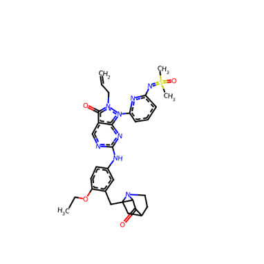 C=CCn1c(=O)c2cnc(Nc3ccc(OCC)c(CC4C(=O)C5CCN4CC5)c3)nc2n1-c1cccc(N=S(C)(C)=O)n1